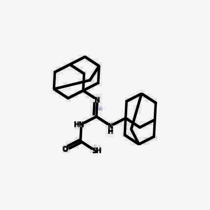 O=C(S)N/C(=N\C12CC3CC(CC(C3)C1)C2)NC12CC3CC(CC(C3)C1)C2